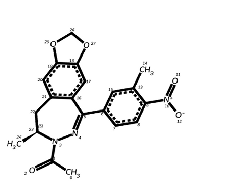 CC(=O)N1N=C(c2ccc([N+](=O)[O-])c(C)c2)c2cc3c(cc2C[C@@H]1C)OCO3